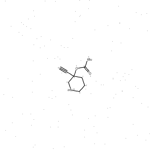 C#CC1(OC(=O)C(C)(C)C)CCCNC1